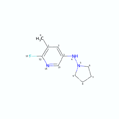 Cc1cc(NN2CCCC2)cnc1F